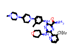 COc1cccnc1-c1nc(C(N)=O)c(Nc2ccc(N3CCC(N4CCN(C)CC4)CC3)c(C)c2)nc1NC1CCOCC1